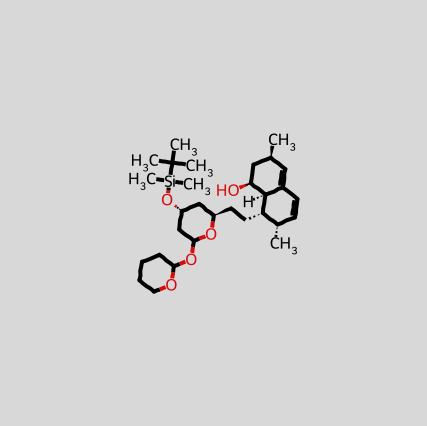 C[C@H]1C=C2C=C[C@H](C)[C@H](CC[C@@H]3C[C@@H](O[Si](C)(C)C(C)(C)C)CC(OC4CCCCO4)O3)[C@H]2[C@@H](O)C1